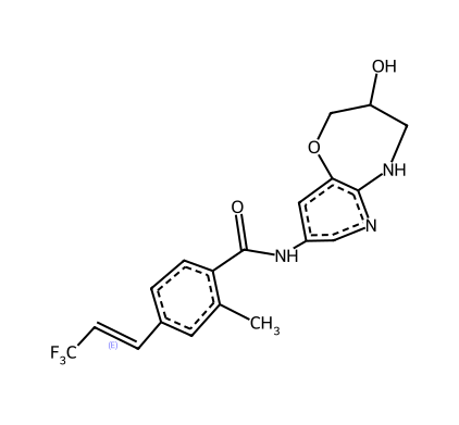 Cc1cc(/C=C/C(F)(F)F)ccc1C(=O)Nc1cnc2c(c1)OCC(O)CN2